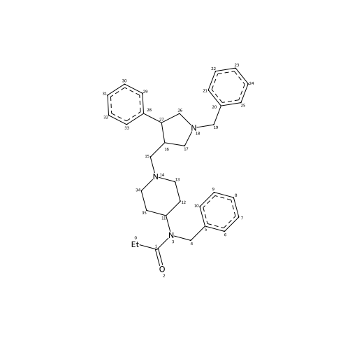 CCC(=O)N(Cc1ccccc1)C1CCN(CC2CN(Cc3ccccc3)CC2c2ccccc2)CC1